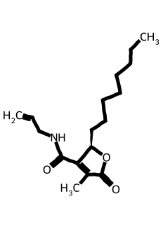 C=CCNC(=O)C1=C(C)C(=O)O[C@@H]1CCCCCCCC